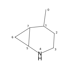 CC1CCNC2CC12